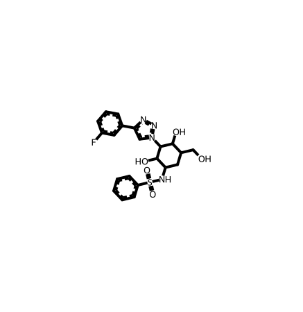 O=S(=O)(NC1CC(CO)C(O)C(n2cc(-c3cccc(F)c3)nn2)C1O)c1ccccc1